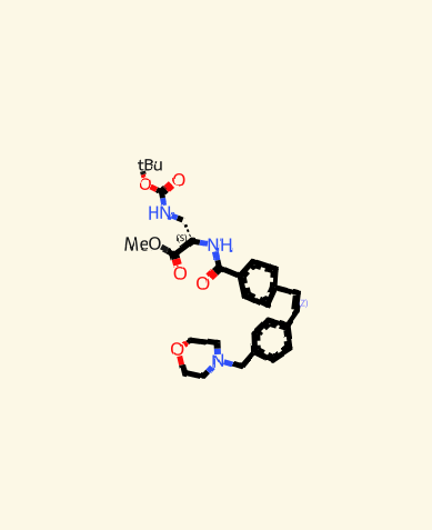 COC(=O)[C@H](CNC(=O)OC(C)(C)C)NC(=O)c1ccc(/C=C\c2ccc(CN3CCOCC3)cc2)cc1